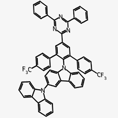 FC(F)(F)c1ccc(-c2cc(-c3nc(-c4ccccc4)nc(-c4ccccc4)n3)cc(-c3ccc(C(F)(F)F)cc3)c2-n2c3ccccc3c3cc(-n4c5ccccc5c5ccccc54)ccc32)cc1